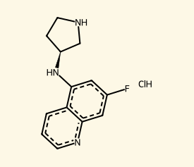 Cl.Fc1cc(N[C@H]2CCNC2)c2cccnc2c1